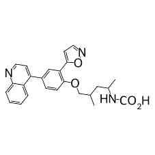 CC(COc1ccc(-c2ccnc3ccccc23)cc1-c1ccno1)CC(C)NC(=O)O